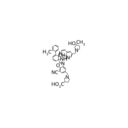 Cc1ccccc1C1=CC=CC(Nc2nccc3cc(CN4CC[C@](C)(O)C4)cnc23)(c2nc3cc(CN4CC[C@@H](C(=O)O)C4)cc(C#N)c3o2)C1C